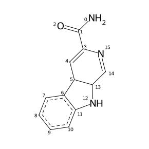 NC(=O)C1=CC2c3ccccc3NC2C=N1